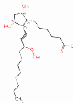 CCCCCCCCC(C=C[C@@H]1[C@@H](CCCCCC(=O)O)[C@@H](O)C[C@H]1O)OO